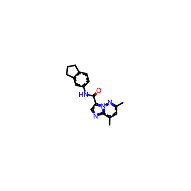 Cc1cc(C)c2ncc(C(=O)Nc3ccc4c(c3)CCC4)n2n1